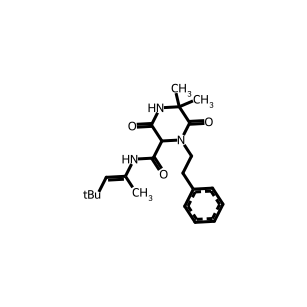 C/C(=C\C(C)(C)C)NC(=O)C1C(=O)NC(C)(C)C(=O)N1CCc1ccccc1